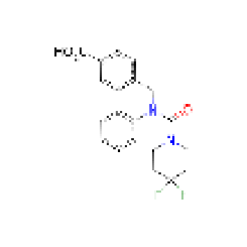 O=C(O)c1ccc(CN(C(=O)N2CCC(F)(F)CC2)c2ccccc2)cc1